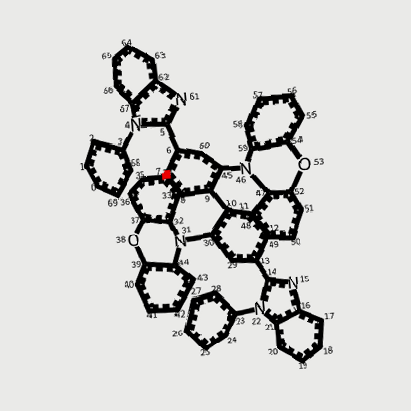 c1ccc(-n2c(-c3ccc(-c4ccc(-c5nc6ccccc6n5-c5ccccc5)cc4N4c5ccccc5Oc5ccccc54)c(N4c5ccccc5Oc5ccccc54)c3)nc3ccccc32)cc1